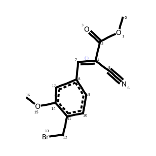 COC(=O)/C(C#N)=C/c1ccc(CBr)c(OC)c1